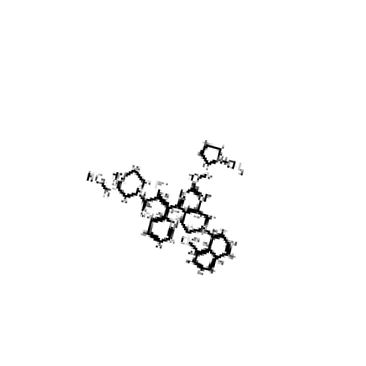 CN1CCC[C@H]1COc1nc2c(c(/C(=C(\F)C(=O)N3CCN[C@@H](CC#N)C3)c3ccccn3)n1)CCN(c1cccc3cccc(Cl)c13)C2